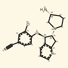 N#Cc1ccc(O[C@@H]2c3cccnc3C[C@H]2N2CCC[C@@H](N)C2)c(Cl)c1